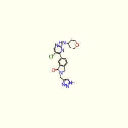 Cn1cc(CN2Cc3ccc(-c4nc(NC5CCOCC5)ncc4Cl)cc3C2=O)nn1